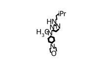 CC(C)CCNc1nccc(N(C)c2ccc(N3CCOCC3)cc2)n1